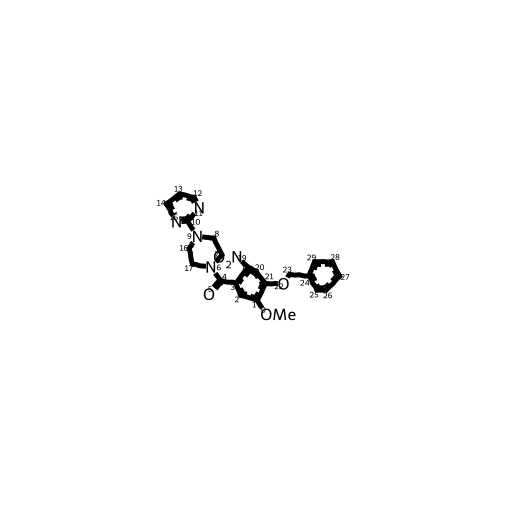 COc1cc(C(=O)N2CCN(c3ncccn3)CC2)c([N+](=O)[O-])cc1OCc1ccccc1